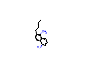 CCCCc1ccc2c(N)cccc2c1N